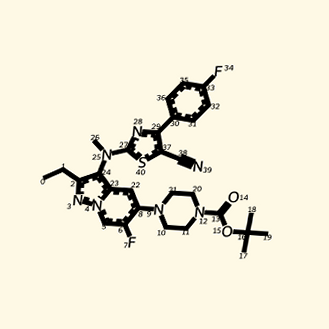 CCc1nn2cc(F)c(N3CCN(C(=O)OC(C)(C)C)CC3)cc2c1N(C)c1nc(-c2ccc(F)cc2)c(C#N)s1